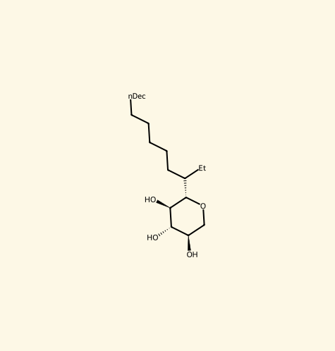 CCCCCCCCCCCCCCCC(CC)[C@@H]1OC[C@@H](O)[C@H](O)[C@H]1O